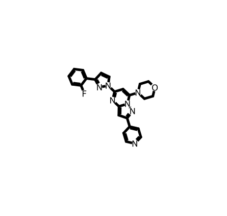 Fc1ccccc1-c1ccn(-c2cc(N3CCOCC3)n3nc(-c4ccncc4)cc3n2)n1